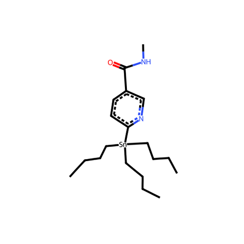 CCC[CH2][Sn]([CH2]CCC)([CH2]CCC)[c]1ccc(C(=O)NC)cn1